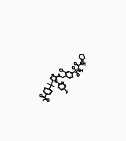 CC(C)(c1ccc(S(C)(=O)=O)cc1)c1cnc(SCc2ccc(S(=O)(=O)NC(=O)NN3CCCC3)cc2Cl)n1-c1ccc(F)cn1